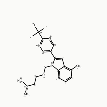 Cc1ccnc2c1cc(-c1cnc(C(F)(F)F)nc1)n2COCC[SiH](C)C